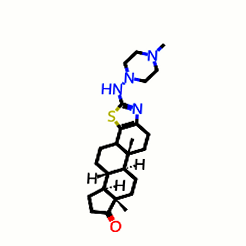 CN1CCN(Nc2nc3c(s2)C2CC[C@@H]4[C@H](CC[C@]5(C)C(=O)CC[C@@H]45)[C@@]2(C)CC3)CC1